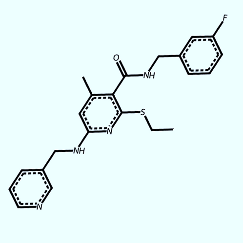 CCSc1nc(NCc2cccnc2)cc(C)c1C(=O)NCc1cccc(F)c1